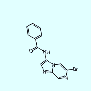 O=C(Nc1cnc2cnc(Br)cn12)c1ccccc1